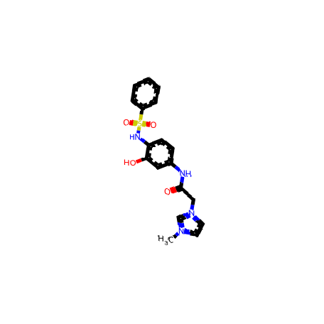 C[n+]1ccn(CC(=O)Nc2ccc(NS(=O)(=O)c3ccccc3)c(O)c2)c1